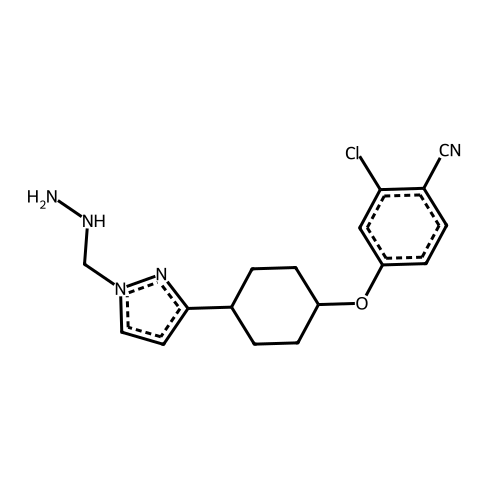 N#Cc1ccc(OC2CCC(c3ccn(CNN)n3)CC2)cc1Cl